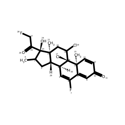 CC1C[C@H]2[C@@H]3C=C(F)C4=CC(=O)C=C[C@]4(C)[C@@]3(Cl)C(Cl)C[C@]2(C)[C@@]1(O)C(=O)CF